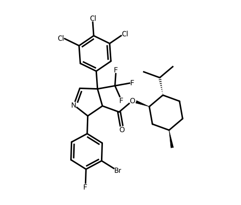 CC(C)[C@@H]1CC[C@@H](C)C[C@H]1OC(=O)C1C(c2ccc(F)c(Br)c2)N=CC1(c1cc(Cl)c(Cl)c(Cl)c1)C(F)(F)F